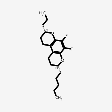 CCCCC[C@@H]1CCc2c3c(c(F)c(F)c2O1)O[C@@H](CCC)CC3